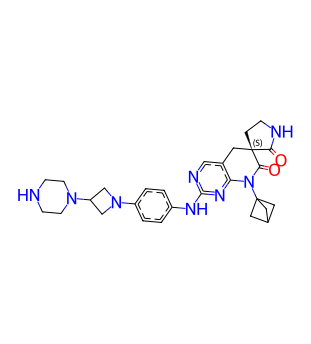 O=C1NCC[C@@]12Cc1cnc(Nc3ccc(N4CC(N5CCNCC5)C4)cc3)nc1N(C13CC(C1)C3)C2=O